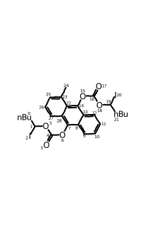 CCCCC(I)OC(=O)Oc1c2ccccc2c(OC(=O)OC(I)CCCC)c2c(C)cccc12